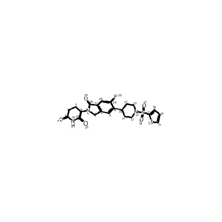 O=C1CCC(N2Cc3cc(C4CCN(S(=O)(=O)c5cccs5)CC4)c(F)cc3C2=O)C(=O)N1